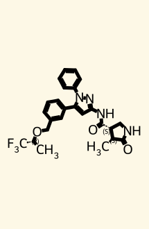 C[C@@H]1C(=O)NC[C@H]1C(=O)Nc1cc(-c2cccc(CO[C@H](C)C(F)(F)F)c2)n(-c2ccccc2)n1